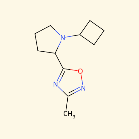 Cc1noc(C2CCCN2C2CCC2)n1